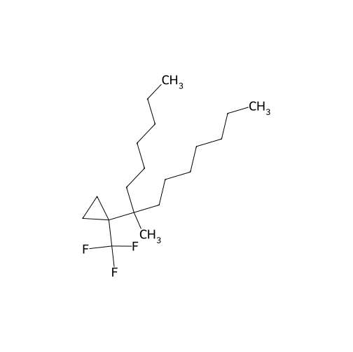 CCCCCCCC(C)(CCCCCC)C1(C(F)(F)F)CC1